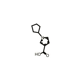 O=C(O)c1ccn(C2CCCC2)c1